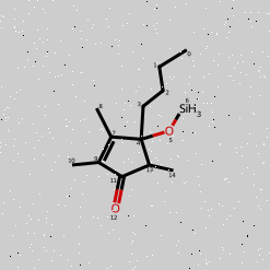 CCCCC1(O[SiH3])C(C)=C(C)C(=O)C1C